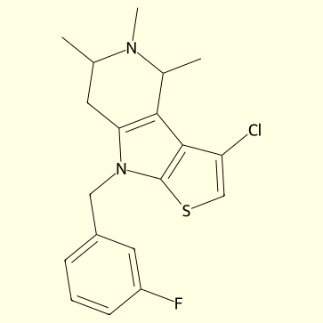 CC1Cc2c(c3c(Cl)csc3n2Cc2cccc(F)c2)C(C)N1C